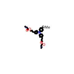 C/C=C/C(=O)OCCCc1ccc(N(c2ccc(CCCOC(=O)/C=C/C)cc2)c2ccc(OC)cc2)cc1